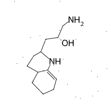 NC[C@H](O)CC1CCC2CCCC=C2N1